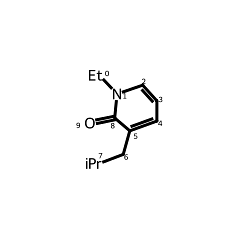 CCn1cccc(CC(C)C)c1=O